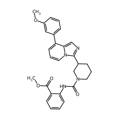 COC(=O)c1ccccc1NC(=O)N1CCCC(c2ncc3c(-c4cccc(OC)c4)cccn23)C1